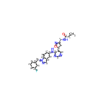 C=CC(=O)NCc1cc(-c2cncnc2Nc2ccc3c(cnn3Cc3cccc(F)c3)c2)on1